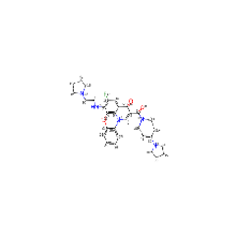 O=C(c1cn2c3c(c(NCCN4CCCC4)c(F)cc3c1=O)Oc1ccccc1-2)N1CCC(N2CCCC2)CC1